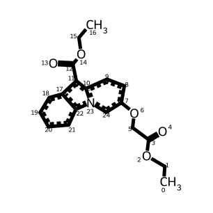 CCOC(=O)COc1ccc2c(C(=O)OCC)c3ccccc3n2c1